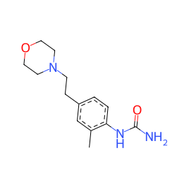 Cc1cc(CCN2CCOCC2)ccc1NC(N)=O